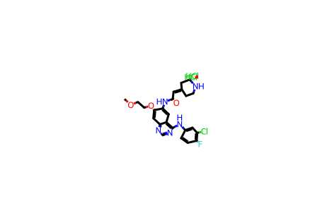 COCCOc1cc2ncnc(Nc3ccc(F)c(Cl)c3)c2cc1NC(=O)C=C1CCNCC1.Cl.Cl